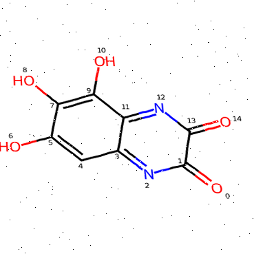 O=C1N=c2cc(O)c(O)c(O)c2=NC1=O